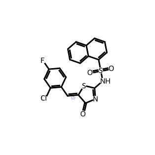 O=C1N=C(NS(=O)(=O)c2cccc3ccccc23)S/C1=C\c1ccc(F)cc1Cl